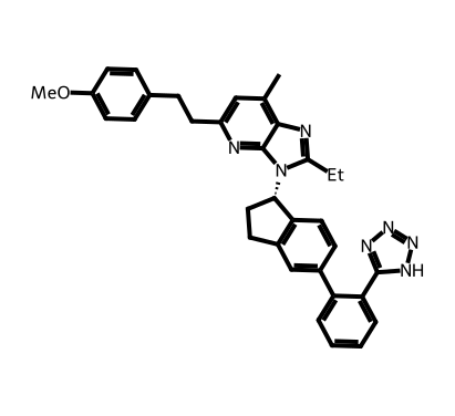 CCc1nc2c(C)cc(CCc3ccc(OC)cc3)nc2n1[C@H]1CCc2cc(-c3ccccc3-c3nnn[nH]3)ccc21